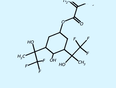 C=C(C)C(=O)OC1CC(C(C)(O)C(F)(F)F)C(O)C(C(C)(O)C(F)(F)F)C1